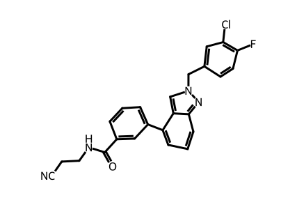 N#CCCNC(=O)c1cccc(-c2cccc3nn(Cc4ccc(F)c(Cl)c4)cc23)c1